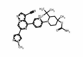 Cn1cc(-c2cn3ncc(C#N)c3c(-c3ccc(N4CCC(C)(OC(N)=O)CC4C(C)(C)C)nc3)n2)cn1